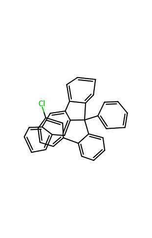 Clc1cccc(-c2ccccc2C2(c3ccccc3)c3ccccc3-c3cc4ccccc4cc32)c1